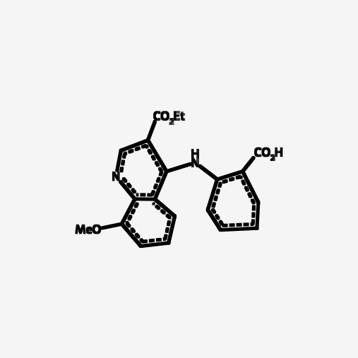 CCOC(=O)c1cnc2c(OC)cccc2c1Nc1ccccc1C(=O)O